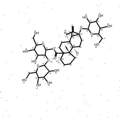 C=C1C[C@@]23CCC4(C(=O)OC5OC(CO)C(O)C(O)C5OC5OC(CO)C(O)C(O)C5O)[C@@H](C)CCC[C@@]4(C)[C@@H]2CC[C@]1(OC1OC(CO)C(O)C(O)C1O)[C@@H]3C